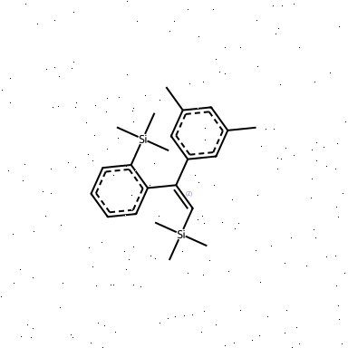 Cc1cc(C)cc(/C(=C/[Si](C)(C)C)c2ccccc2[Si](C)(C)C)c1